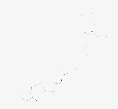 O=C(N[C@H]1CC[C@H](CNC(=O)C2Cc3cc(Cl)ccc3O2)CC1)c1cn(C2CC2)c2cc(Cl)c(F)cc2c1=O